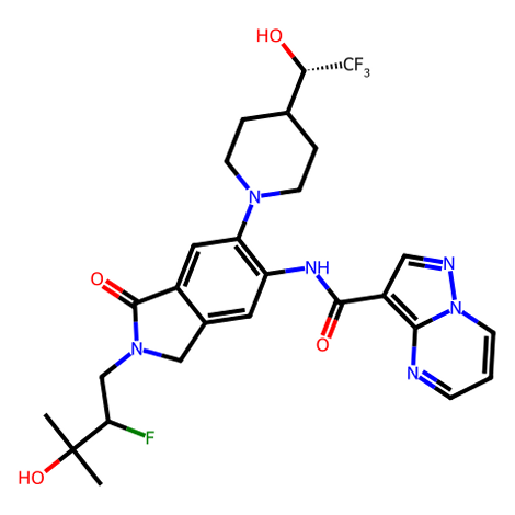 CC(C)(O)C(F)CN1Cc2cc(NC(=O)c3cnn4cccnc34)c(N3CCC([C@H](O)C(F)(F)F)CC3)cc2C1=O